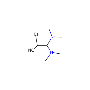 CCC(C#N)C(N(C)C)N(C)C